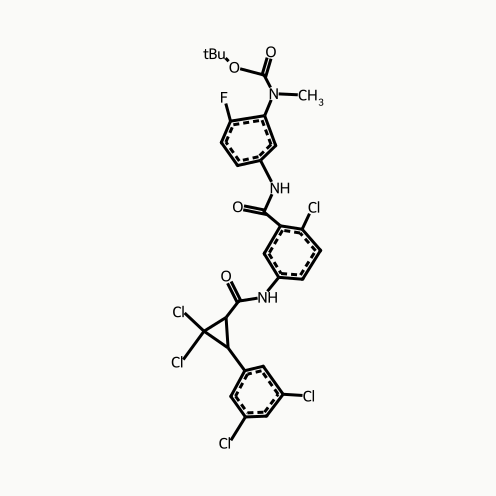 CN(C(=O)OC(C)(C)C)c1cc(NC(=O)c2cc(NC(=O)C3C(c4cc(Cl)cc(Cl)c4)C3(Cl)Cl)ccc2Cl)ccc1F